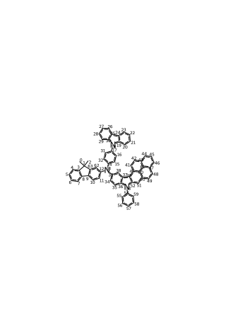 CC1(C)c2ccccc2-c2ccc(N(c3ccc(-n4c5ccccc5c5ccccc54)cc3)c3ccc4c(c3)c3c5ccc6cccc7ccc(cc3n4-c3ccccc3)c5c76)cc21